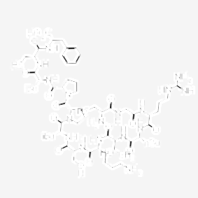 CCCC[C@H](NC(=O)[C@H](CCCNC(=N)N)NC(=O)CNC(=O)[C@@H](N)CS)C(=O)N[C@H](C(=O)N[C@@H](CCCCN)C(=O)N[C@@H](CO)C(=O)N[C@H](C(=O)N1CCC[C@H]1C(=O)N1CCC[C@H]1C(=O)N[C@H](C(=O)N[C@@H](CS)C(=O)N[C@@H](Cc1ccccc1)C(=O)O)[C@@H](C)CC)[C@@H](C)CC)[C@@H](C)O